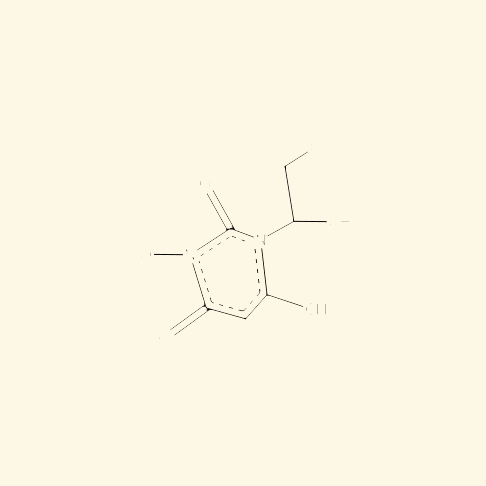 CCC(C)n1c(C)cc(=O)n(O)c1=O